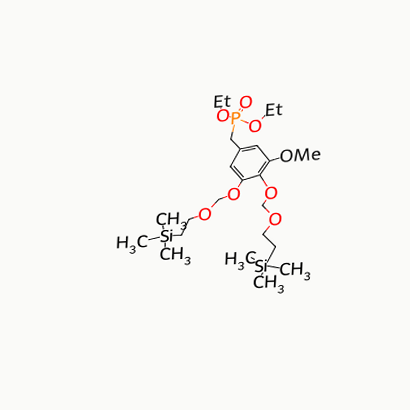 CCOP(=O)(Cc1cc(OC)c(OCOCC[Si](C)(C)C)c(OCOCC[Si](C)(C)C)c1)OCC